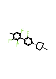 Cc1cc(F)c(-c2ccc([C@H]3CC[C@H](C)CC3)cc2F)c(F)c1F